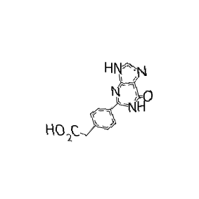 O=C(O)Cc1ccc(-c2nc3[nH]cnc3c(=O)[nH]2)cc1